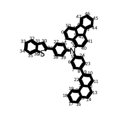 C1=CC2=C(N(c3ccc(-c4ccc5ccc6ccccc6c5c4)cc3)c3ccc(-c4cc5ccccc5s4)cc3)C=CC3c4ccccc4C(=C1)C23